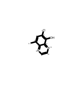 Oc1c(Cl)cc(I)c2nccnc12